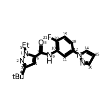 CCn1nc(C(C)(C)C)cc1C(=O)Nc1cc(-n2cccn2)ccc1F